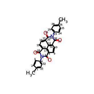 Cc1ccc(N2C(=O)c3ccc4c5c(ccc(c35)C2=O)C(=O)N(c2ccc(C)cc2)C4=O)cc1